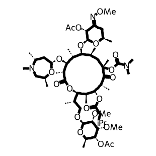 CON=C1C[C@@H](C)O[C@@H](O[C@@H]2[C@@H](C)[C@H](O[C@H]3C[C@@H](C)N(C)C[C@H](C)O3)[C@@H](C)C(=O)O[C@H]([C@@H](C)CO[C@@H]3O[C@H](C)[C@@H](OC(C)=O)[C@@H](OC)[C@H]3OC)[C@H](C)[C@@H](OC(=O)CC(C)C)[C@@H](C)C(=O)[C@@](C)(OC(=O)N(C)C)C[C@@H]2C)[C@@H]1OC(C)=O